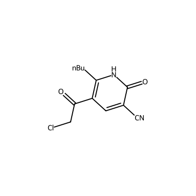 CCCCc1[nH]c(=O)c(C#N)cc1C(=O)CCl